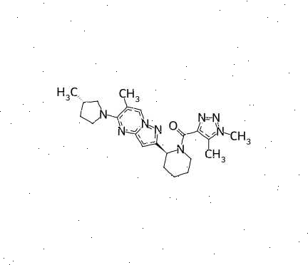 Cc1cn2nc([C@@H]3CCCCN3C(=O)c3nnn(C)c3C)cc2nc1N1CC[C@H](C)C1